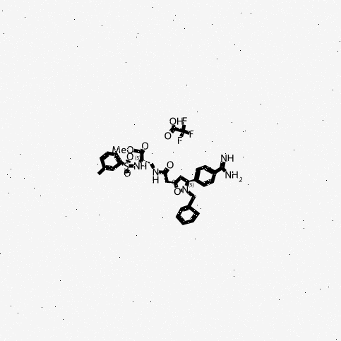 COC(=O)[C@H](CNC(=O)C[C@H]1C[C@@H](c2ccc(C(=N)N)cc2)N(Cc2ccccc2)O1)NS(=O)(=O)c1cccc(C)c1.O=C(O)C(F)(F)F